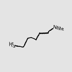 CNCCCCCS